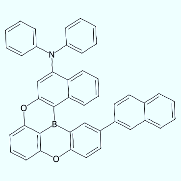 c1ccc(N(c2ccccc2)c2cc3c(c4ccccc24)B2c4cc(-c5ccc6ccccc6c5)ccc4Oc4cccc(c42)O3)cc1